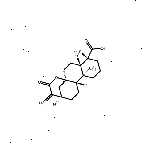 C=C1C(=O)O[C@@]23CC[C@H]4[C@@](C)(CCC[C@@]4(C)C(=O)O)[C@@H]2CC[C@@H]1C3